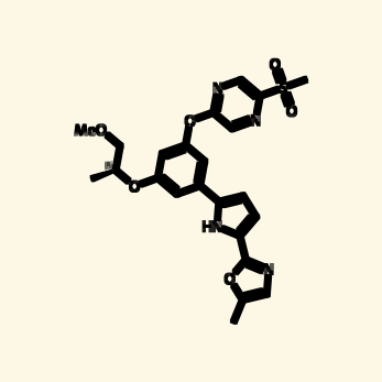 COC[C@H](C)Oc1cc(Oc2cnc(S(C)(=O)=O)cn2)cc(-c2ccc(-c3ncc(C)o3)[nH]2)c1